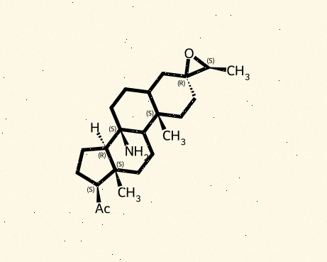 CC(=O)[C@H]1CC[C@@H]2[C@]1(C)CCC1[C@@]3(C)CC[C@]4(CC3CC[C@]12N)O[C@H]4C